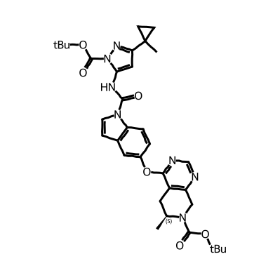 C[C@H]1Cc2c(ncnc2Oc2ccc3c(ccn3C(=O)Nc3cc(C4(C)CC4)nn3C(=O)OC(C)(C)C)c2)CN1C(=O)OC(C)(C)C